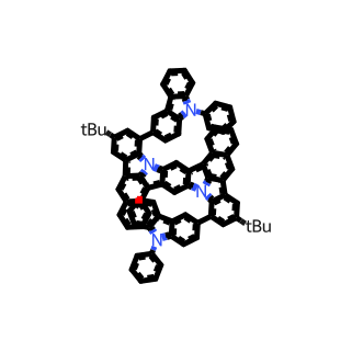 CC(C)(C)c1cc(-c2ccc3c(c2)c2ccccc2n3-c2ccccc2)c2c(c1)c1cc3ccccc3c3c4cc5c(cc4n2c13)c1c2ccccc2cc2c3cc(C(C)(C)C)cc(-c4ccc6c(c4)c4ccccc4n6-c4ccccc4)c3n5c21